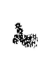 CC(C)(C)OC(=O)N(c1cccc(C(Cc2ccc(-c3ccccc3)nn2)NS(=O)(=O)c2cccnc2)n1)C(C(=O)O)C(C)(C)C